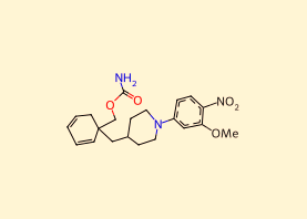 COc1cc(N2CCC(CC3(COC(N)=O)C=CC=CC3)CC2)ccc1[N+](=O)[O-]